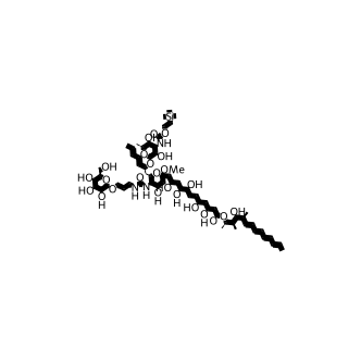 C/C=C/C=C/C=C/C=C/[C@H](C)[C@@H](O)[C@@H](C)[C@H](C)OC(=O)C[C@H](O)C[C@H](O)CC[C@@H](O)[C@H](O)C[C@H](O)C[C@]1(OC)C[C@H](O)[C@@H](NC(=O)NCCCO[C@H]2O[C@H](CO)[C@@H](O)[C@H](O)[C@@H]2O)[C@H](C[C@H](/C=C/C=C/C)O[C@@H]2O[C@H](C)[C@@H](O)[C@H](NC(=O)OCC[Si](C)(C)C)[C@@H]2O)O1